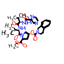 COC(=O)C1C[C@@H](OC(=O)N2CCc3ccccc3C2)CN1C(=O)[C@@H](NC(=O)[C@@H](NC(=O)c1cnccn1)C(C)C)C(C)C